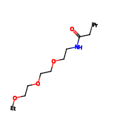 CCOCCOCCOCCNC(=O)CC(C)C